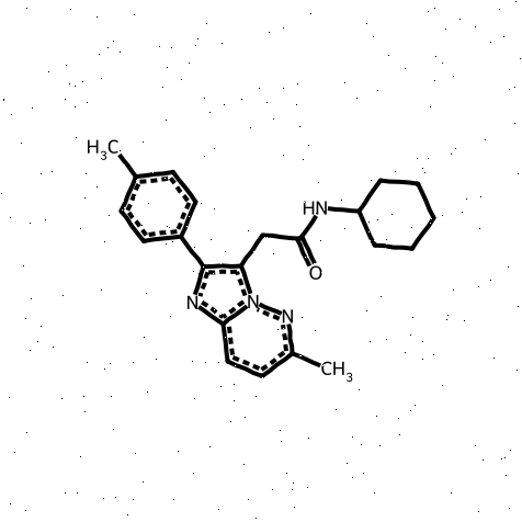 Cc1ccc(-c2nc3ccc(C)nn3c2CC(=O)NC2CCCCC2)cc1